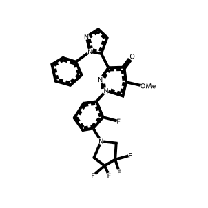 COc1cn(-c2cccc(N3CC(F)(F)C(F)(F)C3)c2F)nc(-c2ccnn2-c2ccccc2)c1=O